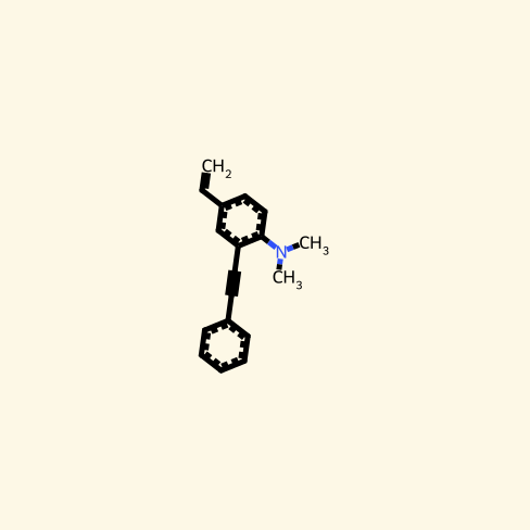 C=Cc1ccc(N(C)C)c(C#Cc2ccccc2)c1